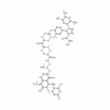 CCNC(=O)c1nnc(-c2cc(C(C)C)c(O)cc2O)n1-c1ccc(CN2CCC(C(=O)N3CCC(C(=O)OC[C@@H](O)Cn4cnc5c(c(Nc6ccc(I)cc6F)c(F)c(=O)n5C)c4=O)CC3)CC2)c(F)c1